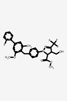 COC(=O)C1C(CO)C(C(F)(F)F)=NN1c1ccc(Cc2c(C)cc(-c3ccccc3F)cc2OC)cc1